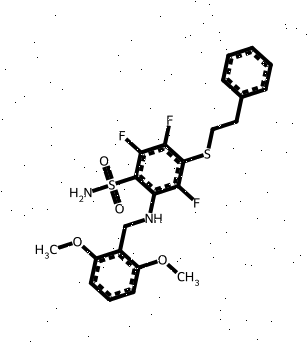 COc1cccc(OC)c1CNc1c(F)c(SCCc2ccccc2)c(F)c(F)c1S(N)(=O)=O